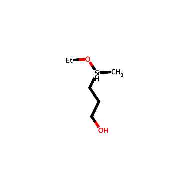 CCO[SiH](C)CCCO